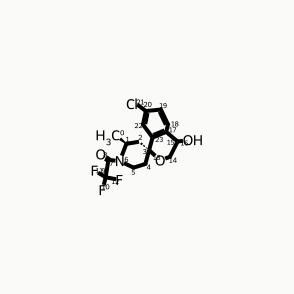 C[C@H]1C[C@@]2(CCN1C(=O)C(F)(F)F)OCC(O)c1ccc(Cl)cc12